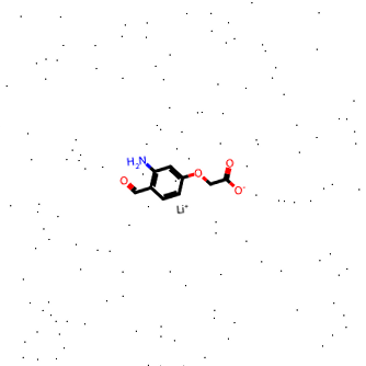 Nc1cc(OCC(=O)[O-])ccc1C=O.[Li+]